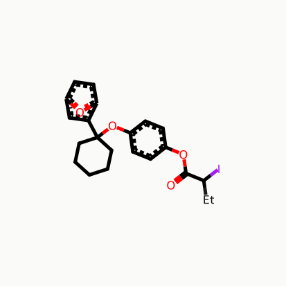 CCC(I)C(=O)Oc1ccc(OC2(c3cc4ccc3o4)CCCCC2)cc1